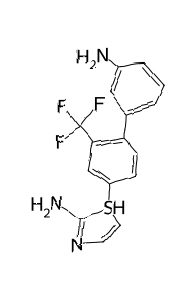 NC1=NC=C[SH]1c1ccc(-c2cccc(N)c2)c(C(F)(F)F)c1